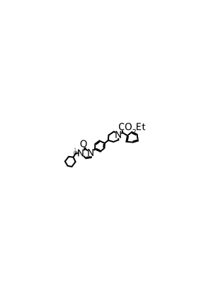 CCOC(=O)C(c1ccccc1)N1CCC(c2ccc(-n3ccn([C@@H](C)C4CCCCC4)c3=O)cc2)CC1